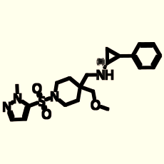 COCC1(CN[C@@H]2CC2c2ccccc2)CCN(S(=O)(=O)c2ccnn2C)CC1